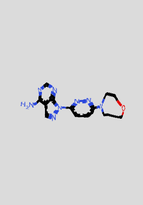 Nc1ncnc2c1cnn2-c1ccc(N2CCOCC2)nn1